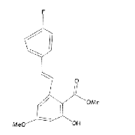 COC(=O)c1c(O)cc(OC)cc1C=Cc1ccc(F)cc1